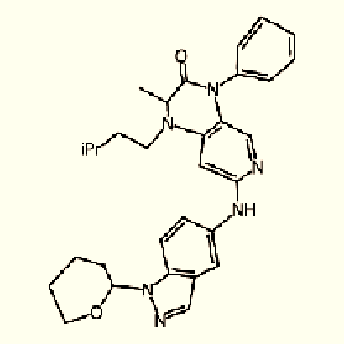 CC(C)CCN1c2cc(Nc3ccc4c(cnn4C4CCCCO4)c3)ncc2N(c2ccccc2)C(=O)C1C